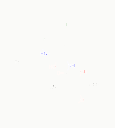 CCc1cccc(CNC[C@@H](O)[C@H](Cc2cc(F)cc(F)c2)NC(=O)c2c(O)c(OC)c3occc3c2OC)c1